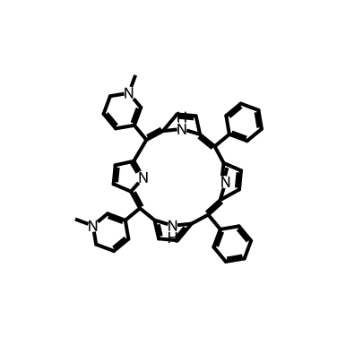 CN1C=C(c2c3nc(c(C4=CN(C)CC=C4)c4ccc([nH]4)c(-c4ccccc4)c4nc(c(-c5ccccc5)c5ccc2[nH]5)C=C4)C=C3)C=CC1